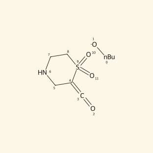 CCCC[O].O=C=C1CNCCS1(=O)=O